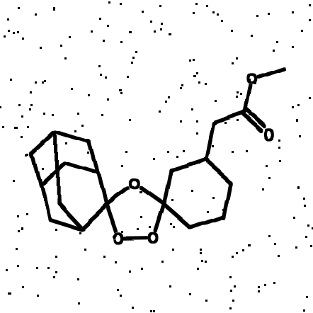 COC(=O)CC1CCCC2(C1)OOC1(O2)C2CC3CC(C2)CC1C3